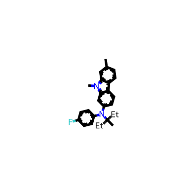 CCC(C)(CC)N(c1ccc(F)cc1)c1ccc2c3ccc(C)cc3n(C)c2c1